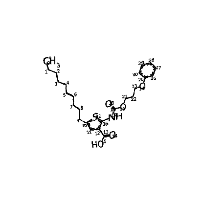 CCCCCCCCCCc1cc(C(=O)O)c(NC(=O)OCCCOc2ccccc2)s1